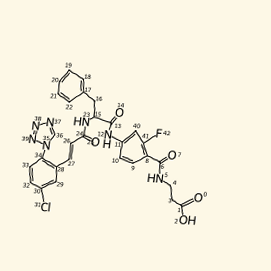 O=C(O)CCNC(=O)c1ccc(NC(=O)C(Cc2ccccc2)NC(=O)C=Cc2cc(Cl)ccc2-n2cnnn2)cc1F